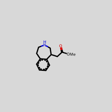 COC(=O)CC1CNCCc2ccccc21